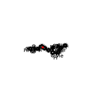 COc1cc(N2CCC(N3CCC4(CCCN(c5cc6c(cc5F)C(=O)N(C5CCC(=O)NC5=O)C6=O)C4)CC3)CC2)c(-c2cnn(C)c2)cc1Nc1ncc(Br)c(Nc2ccc(-c3ccccc3)cc2P(C)(C)=O)n1